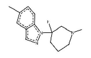 Cc1ccc2c(cnn2C2(F)CCCN(C)C2)c1